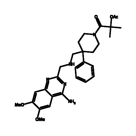 COc1cc2nc(CNCC3(c4ccccc4)CCN(C(=O)C(C)(C)OC(C)=O)CC3)nc(N)c2cc1OC